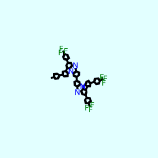 Cc1ccc(-c2ccc3c(c2)c2cc(-c4ccc(C(F)(F)F)cc4)ccc2n3-c2cc(-c3ccc(C#N)c(-n4c5ccc(-c6ccc(C(F)(F)F)cc6)cc5c5cc(-c6ccc(C(F)(F)F)cc6)ccc54)c3)ccc2C#N)cc1